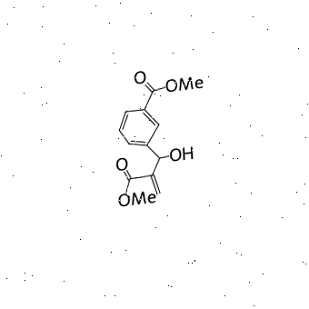 C=C(C(=O)OC)C(O)c1cccc(C(=O)OC)c1